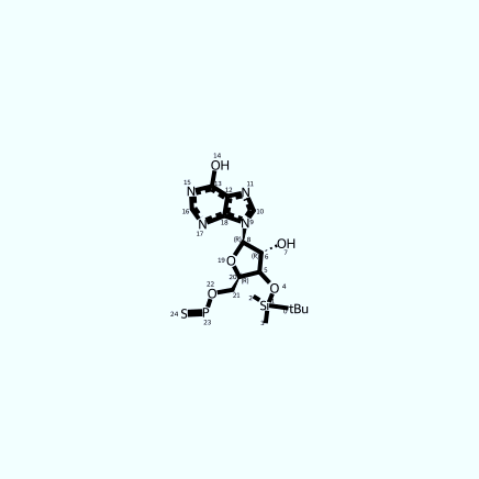 CC(C)(C)[Si](C)(C)OC1[C@@H](O)[C@H](n2cnc3c(O)ncnc32)O[C@@H]1COP=S